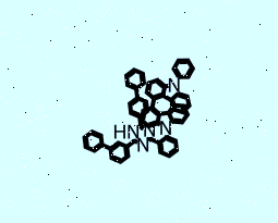 c1ccc(-c2ccc(C3=NC(c4ccccc4-n4c5ccccc5c5c(-c6cccc7c6c6ccccc6n7-c6ccccc6)cccc54)=NC(c4cccc(-c5ccccc5)c4)N3)cc2)cc1